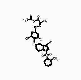 Cc1ccccc1S(=O)(=O)n1cc(C(C)C)c2cc(Oc3c(Cl)cc(N/N=C(/C#N)C(=O)OC(N)=O)cc3Cl)ccc21